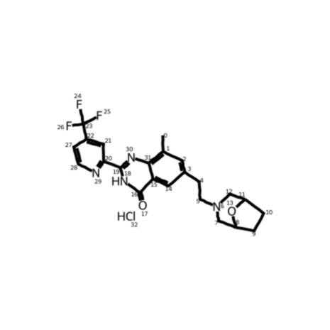 Cc1cc(CCN2CC3CCC(C2)O3)cc2c(=O)[nH]c(-c3cc(C(F)(F)F)ccn3)nc12.Cl